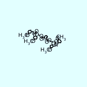 COc1cccc(CN(Cc2cccc(OC)c2)C(=O)OCCOC(=O)c2cccc(C(=O)OCCOC(=O)N(Cc3cccc(OC)c3)Cc3cccc(OC)c3)n2)c1